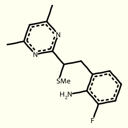 CSC(Cc1cccc(F)c1N)c1nc(C)cc(C)n1